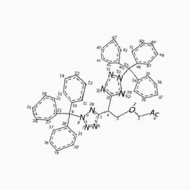 CC(=O)COCC(c1nnn(C(c2ccccc2)(c2ccccc2)c2ccccc2)n1)c1nnn(C(c2ccccc2)(c2ccccc2)c2ccccc2)n1